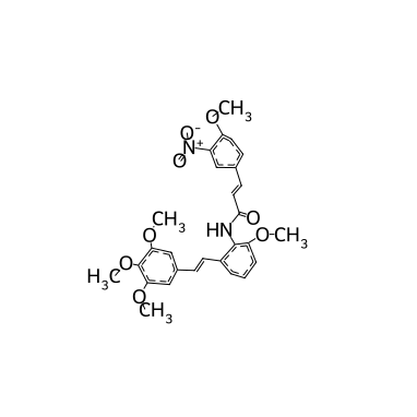 COc1ccc(/C=C/C(=O)Nc2c(C=Cc3cc(OC)c(OC)c(OC)c3)cccc2OC)cc1[N+](=O)[O-]